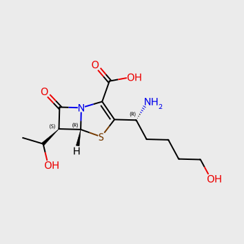 CC(O)[C@H]1C(=O)N2C(C(=O)O)=C([C@H](N)CCCCO)S[C@H]12